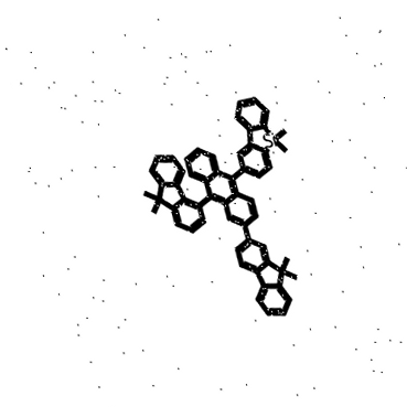 CC1(C)c2ccccc2-c2ccc(-c3ccc4c(-c5ccc6c(c5)-c5ccccc5[Si]6(C)C)c5ccccc5c(-c5cccc6c5-c5ccccc5C6(C)C)c4c3)cc21